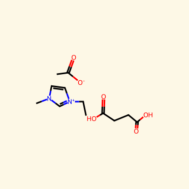 CC(=O)[O-].CC[n+]1ccn(C)c1.O=C(O)CCC(=O)O